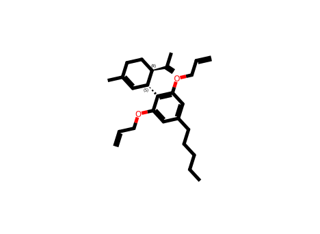 C=CCOc1cc(CCCCC)cc(OCC=C)c1[C@@H]1C=C(C)CC[C@H]1C(=C)C